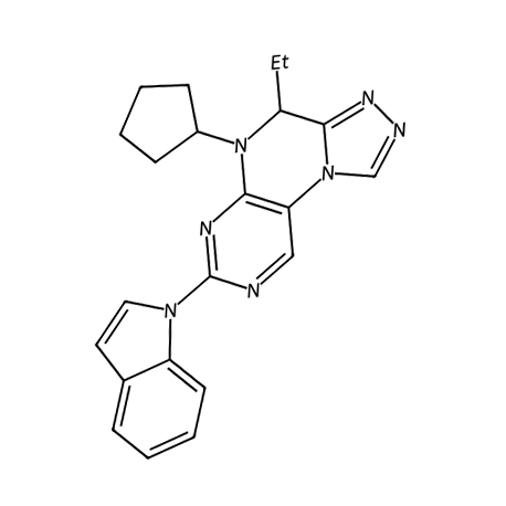 CCC1c2nncn2-c2cnc(-n3ccc4ccccc43)nc2N1C1CCCC1